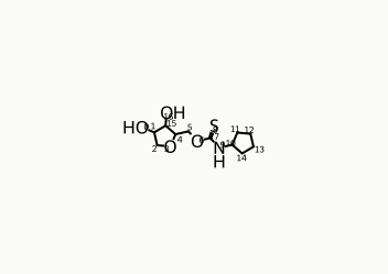 OC1COC(COC(=S)NC2CCCC2)C1O